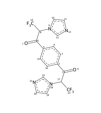 O=C(c1ccc(C(=O)C(n2ccnc2)C(F)(F)F)cc1)C(n1ccnc1)C(F)(F)F